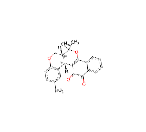 CC1(C)OC2=C(C(=O)C(=O)c3ccccc32)[C@@H]2c3cc([N+](=O)[O-])ccc3OC[C@@H]21